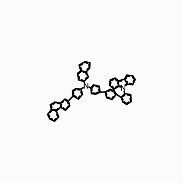 c1ccc(-n2c3ccccc3c3ccccc32)c(-c2ccc(-c3ccc(N(c4ccc(-c5ccc6c(ccc7ccccc76)c5)cc4)c4ccc5ccccc5c4)cc3)cc2)c1